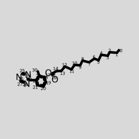 CCCCCCCCCCCCCCCC(=O)Oc1cccc(-c2ncncn2)c1C